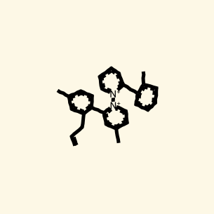 C=CCc1cc(C)ccc1-c1cc(C)cc[n+]1-[n+]1ccccc1-c1ccccc1C